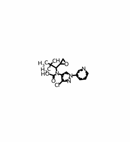 CC(C)(C)C(C1CO1)N(C(=O)O)c1cn(-c2cccnc2)nc1Cl